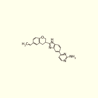 C=Cc1ccc2c(c1)CC(c1nc3cc(-c4ccnc(N)n4)ccc3[nH]1)CO2